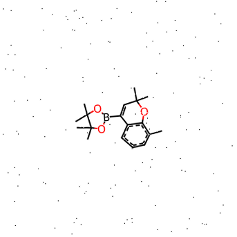 Cc1cccc2c1OC(C)(C)C=C2B1OC(C)(C)C(C)(C)O1